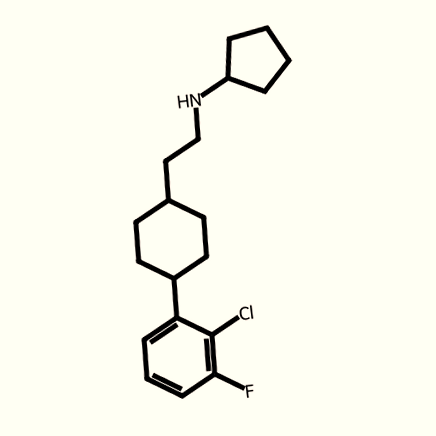 Fc1cccc(C2CCC(CCNC3CCCC3)CC2)c1Cl